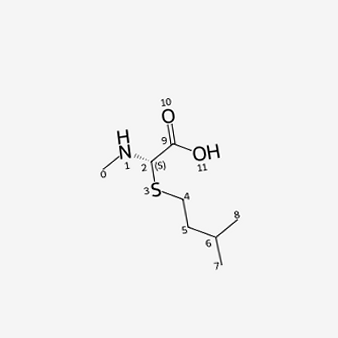 CN[C@@H](SCCC(C)C)C(=O)O